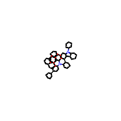 c1ccc(-c2ccc(N(c3ccccc3-c3cccc4cccc(-c5ccccc5)c34)c3ccccc3-c3cccc4c3c3ccccc3n4-c3ccccc3)c(-c3ccccc3)c2)cc1